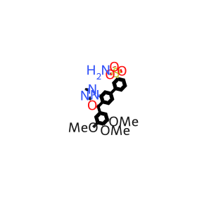 COc1cc(C(=O)c2ccc(-c3cccc(S(=O)(=O)ON)c3)cc2-n2cncn2)cc(OC)c1OC